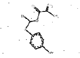 C=C(C)C(=O)OC(CC)Oc1ccc(CCC)cc1